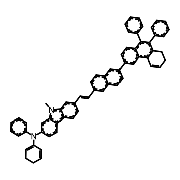 Cn1c2cc(/C=C/c3ccc4cc(-c5ccc6c(-c7ccccc7)c(-c7ccccc7)c7c(c6c5)C=CCC7)ccc4c3)ccc2c2ccc(N(C3=CCCC=C3)c3ccccc3)cc21